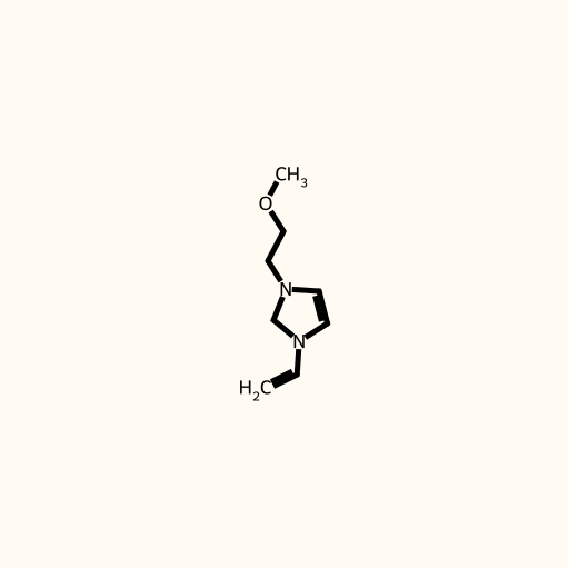 C=CN1C=CN(CCOC)C1